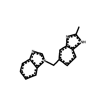 Cc1nc2cc(Cn3cnc4ccccc43)ccc2[nH]1